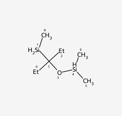 CCC(CC)(O[SiH](C)C)[SiH2]C